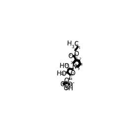 CCCOC(=O)c1ccc[n+]([C@@H]2O[C@H](COP(=O)([O-])O)C(O)C2O)c1